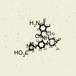 Cc1c(F)c(N)cc(C(=O)Nc2cc(-n3cc(C(=O)O)nn3)ccc2N2C[C@@H](C)N(C)[C@@H](C)C2)c1Cl